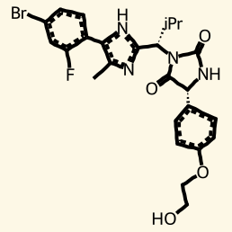 Cc1nc([C@H](C(C)C)N2C(=O)N[C@H](c3ccc(OCCO)cc3)C2=O)[nH]c1-c1ccc(Br)cc1F